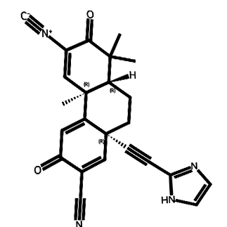 [C-]#[N+]C1=C[C@]2(C)C3=CC(=O)C(C#N)=C[C@]3(C#Cc3ncc[nH]3)CC[C@H]2C(C)(C)C1=O